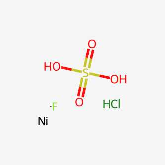 Cl.O=S(=O)(O)O.[F].[Ni]